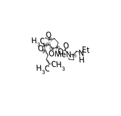 CCNC[C@H]1CCN1C(=O)O[C@@H]1CC[C@]2(CO2)[C@@H]([C@@]2(C)O[C@@H]2CC=C(C)C)[C@@H]1OC